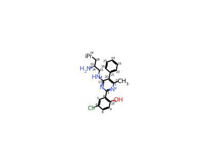 Cc1nc(-c2cc(Cl)ccc2O)nc(NC[C@@H](N)CC(C)C)c1-c1ccccc1